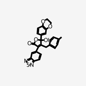 Cc1ccc(CC2=C(c3ccc4nsnc4c3)C(=O)OC2(O)c2ccc3c(c2)OCCO3)cc1